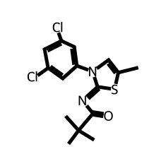 Cc1cn(-c2cc(Cl)cc(Cl)c2)c(=NC(=O)C(C)(C)C)s1